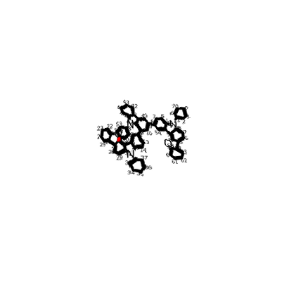 c1ccc(-n2c3ccc(-c4cc(-c5ccc6c(c5)c5c7oc8ccccc8c7ccc5n6-c5ccccc5)c5c(c4)c4ccccc4n5-c4ccccc4)cc3c3c4oc5ccccc5c4ccc32)cc1